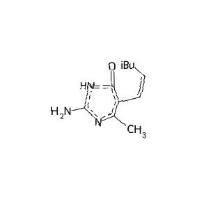 CCC(C)/C=C\c1c(C)nc(N)[nH]c1=O